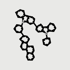 c1ccc(-n2c3ccccc3c3cc(-c4ccc5c6ccccc6n(-c6cccc(-c7ccc8c(ccc9c%10ccccc%10ccc89)c7)c6)c5c4)ccc32)cc1